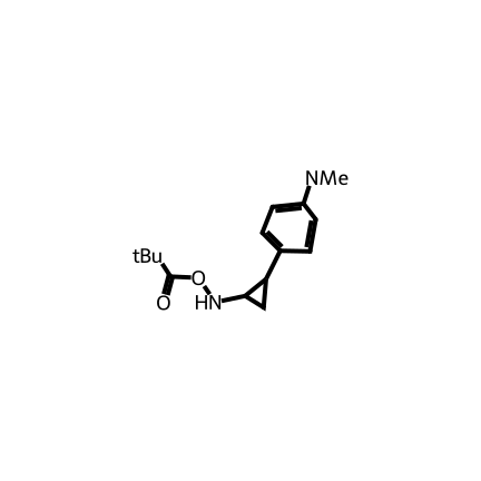 CNc1ccc(C2CC2NOC(=O)C(C)(C)C)cc1